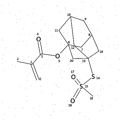 C=C(C)C(=O)OC12CC3CC(C1)CC(SS(C)(=O)=O)(C3)C2